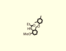 CCC(=O)Nc1c(COc2ccc(C)cc2C)cccc1OC